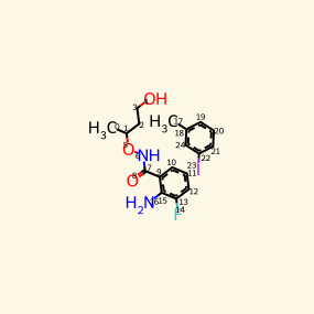 CC(CCO)ONC(=O)c1cccc(F)c1N.Cc1cccc(I)c1